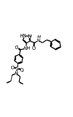 CCCN(CCC)S(=O)(=O)c1ccc(C(=O)Nc2c[nH]nc2C(=O)NCCc2ccccc2)cc1